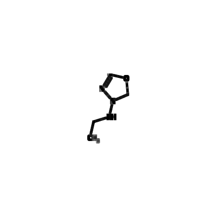 CCNN1CO[C]=N1